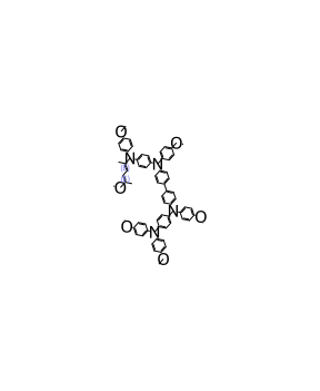 CO/C(C)=C/C=C(\C)N(c1ccc(OC)cc1)c1ccc(N(c2ccc(OC)cc2)c2ccc(-c3ccc(N(c4ccc(OC)cc4)c4ccc(N(c5ccc(OC)cc5)c5ccc(OC)cc5)cc4)cc3)cc2)cc1